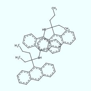 CCCC(Bc1c2ccccc2c(BC(CC)(CCC)c2c3ccccc3cc3ccccc23)c2ccccc12)(CC)c1c2ccccc2cc2ccccc12